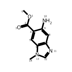 COC(=O)c1cc2c(cc1N)ncn2C